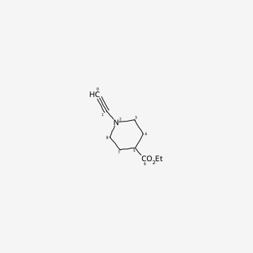 C#CN1CCC(C(=O)OCC)CC1